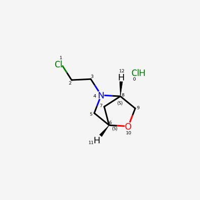 Cl.ClCCN1C[C@@H]2C[C@H]1CO2